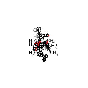 C=CCOC(=O)OC1[C@@H](OCC2O[C@@H](O[C@@H]3C(COCc4ccccc4)O[C@@H](O[C@@H]4C(COCc5ccccc5)O[C@@H](OCc5ccccc5)C(NC(=O)OCC(Cl)(Cl)Cl)[C@H]4O)C(C)[C@H]3C)C(OCc3ccccc3)[C@@H](O[C@H]3OC(CC)[C@@H](C)[C@H](C)C3OC(=O)OCC3c4ccccc4-c4ccccc43)[C@@H]2C)OC(CC)[C@@H](C)[C@@H]1C